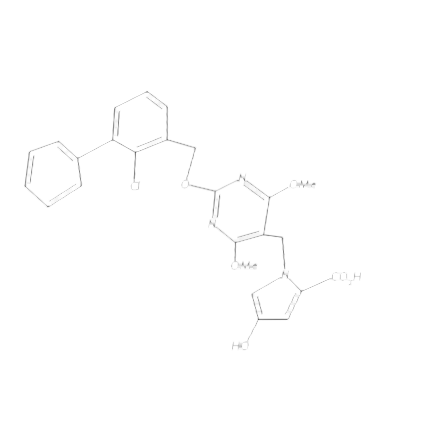 COc1nc(OCc2cccc(-c3ccccc3)c2Cl)nc(OC)c1Cn1cc(O)cc1C(=O)O